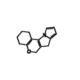 c1cc2n(c1)C1=C(COC3=C1CCCC3)C2